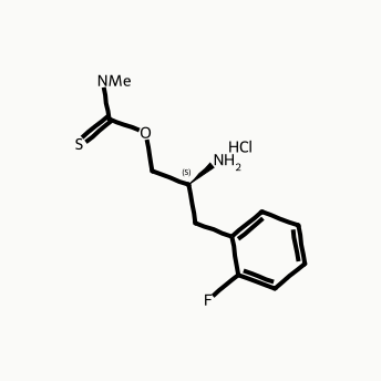 CNC(=S)OC[C@@H](N)Cc1ccccc1F.Cl